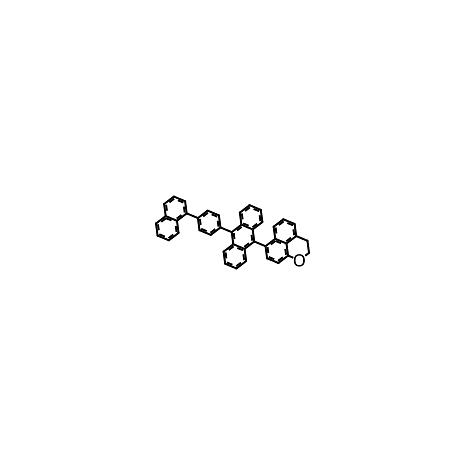 c1ccc2c(-c3ccc(-c4c5ccccc5c(-c5ccc6c7c(cccc57)CCO6)c5ccccc45)cc3)cccc2c1